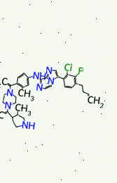 C=CCCc1ccc(-c2cnc3c(Nc4ccc(C(=C)N5CCN(C(=C)C6CCNCC6C)CC5)c(C)c4)nccn23)c(Cl)c1F